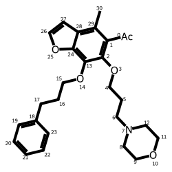 CC(=O)c1c(OCCCN2CCOCC2)c(OCCCc2ccccc2)c2occc2c1C